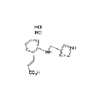 Cl.Cl.O=C(O)/C=C/c1ccccc1NCc1c[nH]cn1